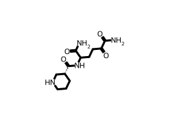 NC(=O)C(=O)CCC(NC(=O)[C@@H]1CCCNC1)C(N)=O